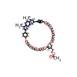 CC(=O)OCCc1cc2cc(c1)OCCOCCOCCOc1ccc(cc1)-c1cc(C)c3ccc4c(C)cc(nc4c3n1)-c1ccc(cc1)OCCOCCOCCO2